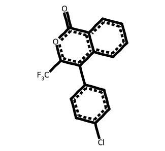 O=c1oc(C(F)(F)F)c(-c2ccc(Cl)cc2)c2ccccc12